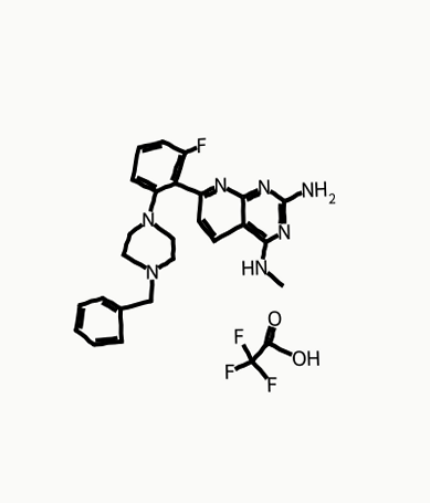 CNc1nc(N)nc2nc(-c3c(F)cccc3N3CCN(Cc4ccccc4)CC3)ccc12.O=C(O)C(F)(F)F